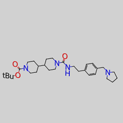 CC(C)(C)OC(=O)N1CCC(C2CCN(C(=O)NCCc3ccc(CN4CCCC4)cc3)CC2)CC1